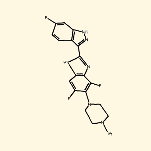 CC(C)N1CCN(c2c(F)cc3[nH]c(-c4n[nH]c5cc(F)ccc45)nc3c2F)CC1